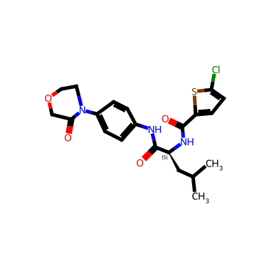 CC(C)C[C@H](NC(=O)c1ccc(Cl)s1)C(=O)Nc1ccc(N2CCOCC2=O)cc1